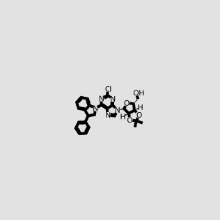 CC1(C)O[C@@H]2[C@H](O1)[C@@H](CO)O[C@H]2n1cnc2c(N3CC(c4ccccc4)c4ccccc43)nc(Cl)nc21